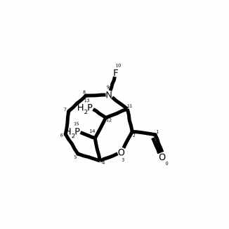 O=CC1OC2CCCCN(F)C1C(P)C2P